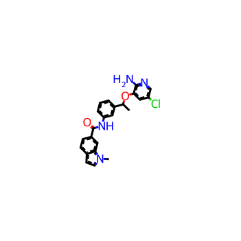 CC(Oc1cc(Cl)cnc1N)c1cccc(NC(=O)c2ccc3ccn(C)c3c2)c1